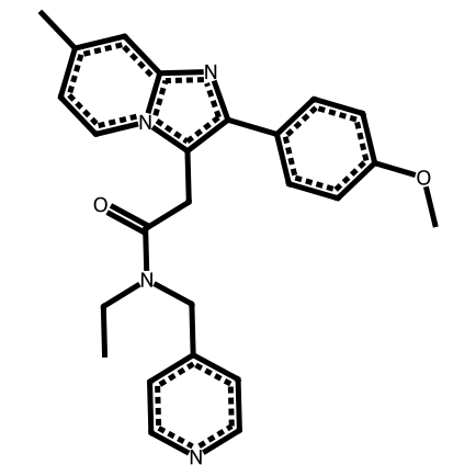 CCN(Cc1ccncc1)C(=O)Cc1c(-c2ccc(OC)cc2)nc2cc(C)ccn12